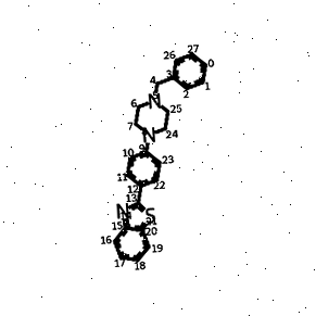 c1ccc(CN2CCN(c3ccc(-c4nc5ccccc5s4)cc3)CC2)cc1